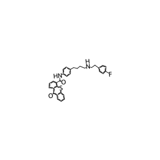 O=C(Nc1ccc(CCCCNCCc2ccc(F)cc2)cc1)c1cccc2c(=O)c3ccccc3sc12